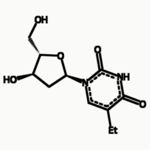 CCc1cn([C@H]2C[C@@H](O)[C@H](CO)O2)c(=O)[nH]c1=O